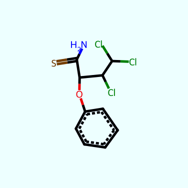 NC(=S)C(Oc1ccccc1)C(Cl)C(Cl)Cl